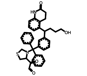 O=CC(=O)C1CSCN1C(c1ccccc1)(c1ccccc1)c1cccc(C(CCCO)c2cccc3c2CCC(=O)N3)c1